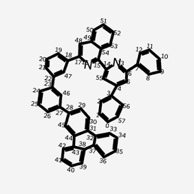 c1ccc(-c2cc(-c3ccccc3)nc(-c3nc(-c4cccc(-c5cccc(-c6ccc7c8ccccc8c8ccccc8c7c6)c5)c4)cc4ccccc34)c2)cc1